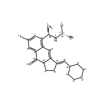 C[C@@H](N[S@+]([O-])C(C)(C)C)c1cc(F)cc2c(=O)n3c(nc12)C(=CC1CCOCC1)CC3